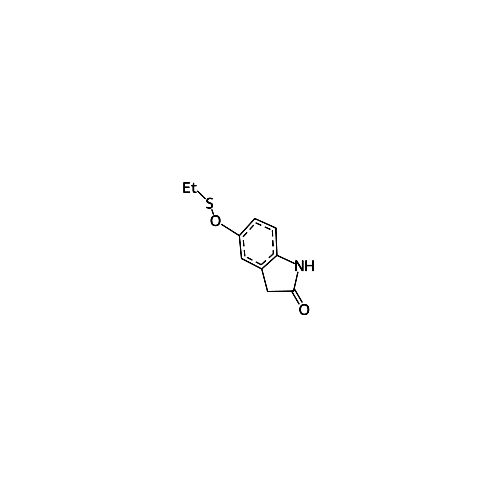 CCSOc1ccc2c(c1)CC(=O)N2